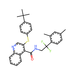 Cc1ccc(C(F)(F)CNC(=O)c2c(Sc3ccc(C(C)(C)C)cc3)cnc3ccccc23)c(C)c1